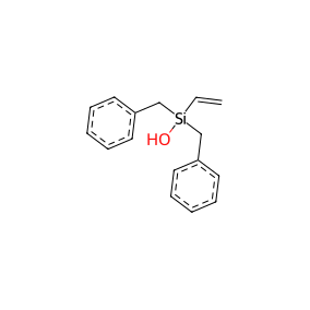 C=C[Si](O)(Cc1ccccc1)Cc1ccccc1